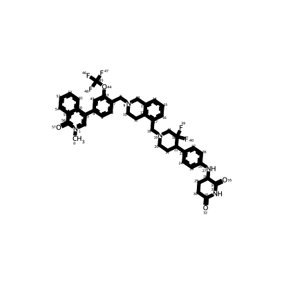 Cn1cc(-c2ccc(CN3CCc4c(cccc4CN4CCC(c5ccc(NC6CCC(=O)NC6=O)cc5)C(F)(F)C4)C3)c(OC(F)(F)F)c2)c2ccccc2c1=O